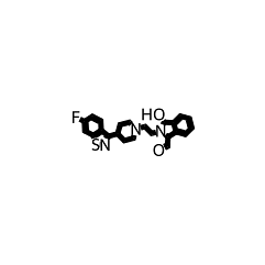 O=CC1c2ccccc2C(O)N1CCN1CCC(c2nsc3cc(F)ccc23)CC1